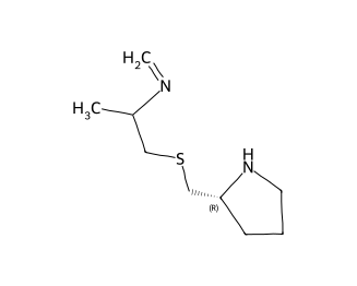 C=NC(C)CSC[C@H]1CCCN1